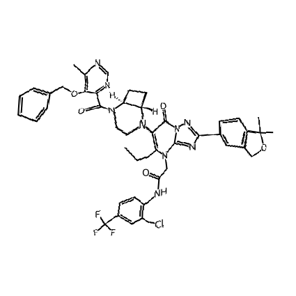 CCc1c(N2CCN(C(=O)c3ncnc(C)c3OCc3ccccc3)[C@H]3CC[C@@H]32)c(=O)n2nc(-c3ccc4c(c3)COC4(C)C)nc2n1CC(=O)Nc1ccc(C(F)(F)F)cc1Cl